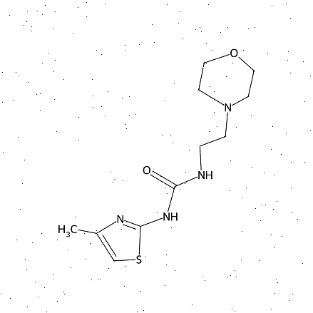 Cc1csc(NC(=O)NCCN2CCOCC2)n1